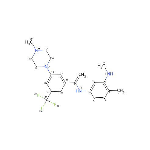 C=C(Nc1ccc(C)c(NC)c1)c1cc(N2CCN(C)CC2)cc(C(F)(F)F)c1